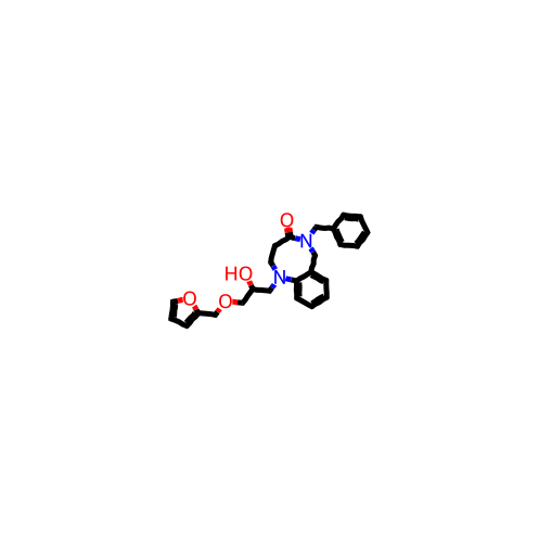 O=C1CCN(CC(O)COCc2ccco2)c2ccccc2CN1Cc1ccccc1